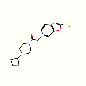 CSc1nc2cc[n+](CC(=O)N3CCN(C4CCC4)CC3)cc2o1.[I-]